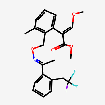 CO/C=C(/C(=O)OC)c1cccc(C)c1CO/N=C(\C)c1ccccc1CC(F)(F)I